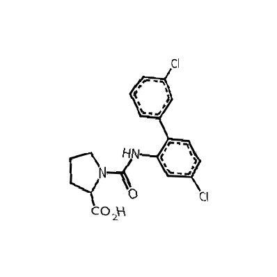 O=C(O)C1CCCN1C(=O)Nc1cc(Cl)ccc1-c1cccc(Cl)c1